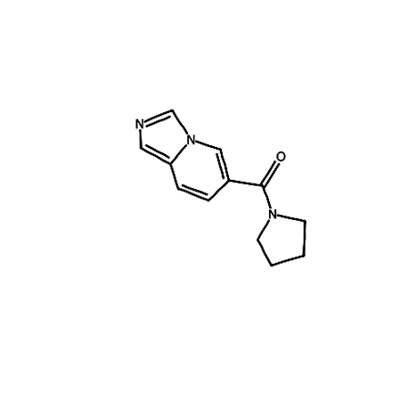 O=C(c1ccc2cncn2c1)N1CCCC1